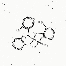 Cc1ccccc1O[PH](Oc1ccccc1C)(Oc1ccccc1C)C(C)(C)C